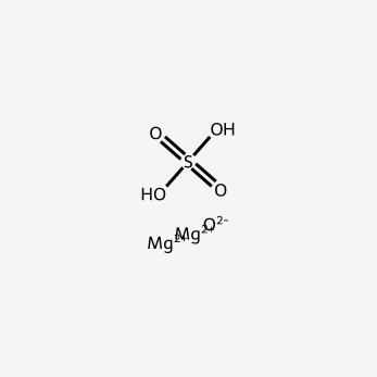 O=S(=O)(O)O.[Mg+2].[Mg+2].[O-2]